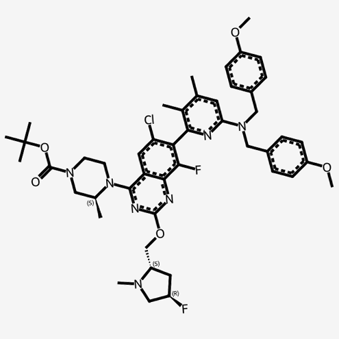 COc1ccc(CN(Cc2ccc(OC)cc2)c2cc(C)c(C)c(-c3c(Cl)cc4c(N5CCN(C(=O)OC(C)(C)C)C[C@@H]5C)nc(OC[C@@H]5C[C@@H](F)CN5C)nc4c3F)n2)cc1